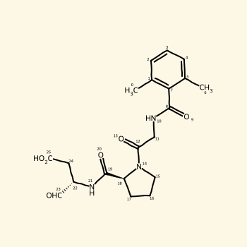 Cc1cccc(C)c1C(=O)NCC(=O)N1CCC[C@H]1C(=O)N[C@H](C=O)CC(=O)O